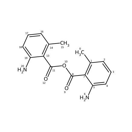 Cc1cccc(N)c1C(=O)OC(=O)c1c(C)cccc1N